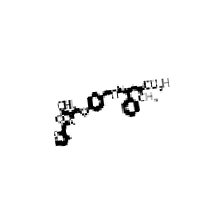 Cc1oc(-c2cccs2)nc1COc1ccc(CON=C(CC(C)C(=O)O)c2ccccc2)cc1